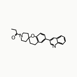 CCC(=O)N1CCC2(CCc3cc(-c4cnc5ccccc5c4)ccc3O2)CC1